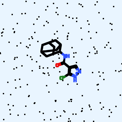 O=C(NC1C2CC3CC(C2)CC1C3)c1cn[nH]c1Cl